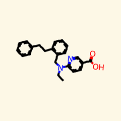 CCN(Cc1ccccc1CCc1ccccc1)c1ccc(C(=O)O)cn1